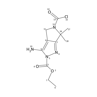 CCOC(=O)n1nc2c(c1N)CN(C(=O)Cl)C2(C)C